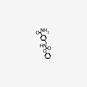 NC(=O)c1ccc(CNC(=O)Oc2ccccc2)cc1